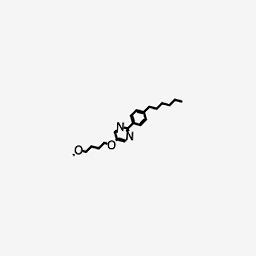 CCCCCCc1ccc(-c2ncc(OCCCCOC)cn2)cc1